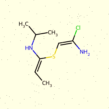 C/C=C(/NC(C)C)S/C=C(\N)Cl